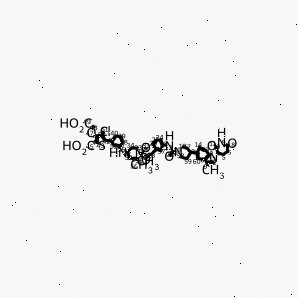 Cc1cn(C2CCC(=O)NC2=O)c2ccc(C3CCN(C(=O)Nc4cccc(CS(=O)(=O)N5CC[C@H](Nc6cccc(-c7sc(C(=O)O)c(OCC(=O)O)c7Cl)c6)CC5(C)C)c4)CC3)cc12